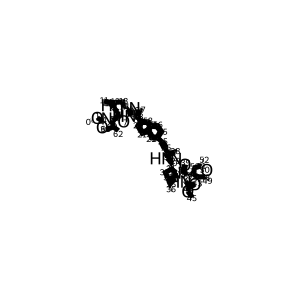 COC(=O)NC(C(=O)N1C2C(C)C2C[C@H]1c1ncc(-c2ccc3cc(C#Cc4cnc([C@@H]5CC6C([C@@H]6C)N5C(=O)C(NC(=O)OC)[C@H]5C[C@@H](C)O[C@@H](C)C5)[nH]4)ccc3c2)[nH]1)C(C)C